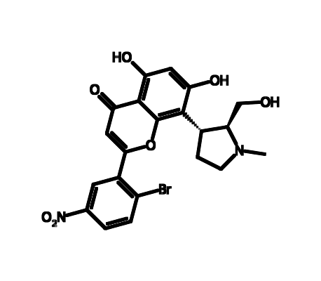 CN1CC[C@H](c2c(O)cc(O)c3c(=O)cc(-c4cc([N+](=O)[O-])ccc4Br)oc23)[C@H]1CO